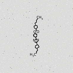 CCCCCC1CCC(C(=O)Oc2ccc(-c3ncc(C4CCC(CCCC)CC4)cn3)cc2)CC1